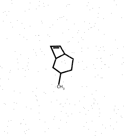 CC1CCC2C=CC2C1